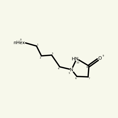 CCCCCCCCCCN1CCC(=O)N1